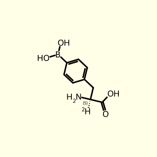 [2H][C@](N)(Cc1ccc(B(O)O)cc1)C(=O)O